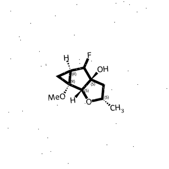 CO[C@]12C[C@H]1C(F)[C@]1(O)C[C@H](C)O[C@H]21